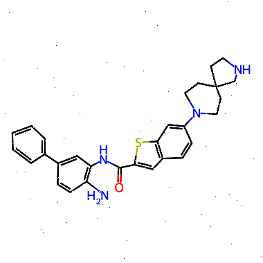 Nc1ccc(-c2ccccc2)cc1NC(=O)c1cc2ccc(N3CCC4(CCNC4)CC3)cc2s1